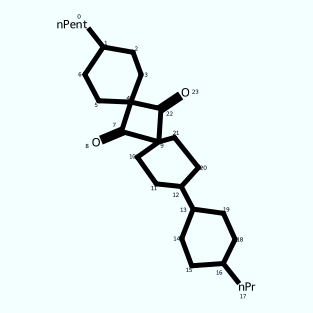 CCCCCC1CCC2(CC1)C(=O)C1(CCC(C3CCC(CCC)CC3)CC1)C2=O